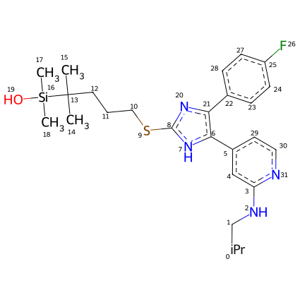 CC(C)CNc1cc(-c2[nH]c(SCCCC(C)(C)[Si](C)(C)O)nc2-c2ccc(F)cc2)ccn1